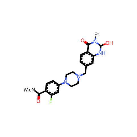 CCN1C(=O)c2ccc(CN3CCN(c4ccc(C(=O)NC)c(F)c4)CC3)cc2NC1O